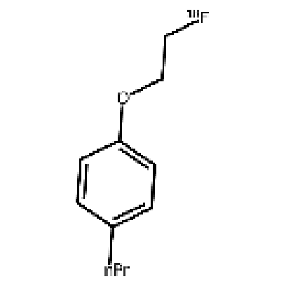 CCCc1ccc(OCC[18F])cc1